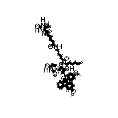 CCCCCCN(O[C@@H]1[C@H](O)[C@@H](COC(c2ccccc2)(c2ccc(OC)cc2)c2ccc(OC)cc2)O[C@H]1n1ccc(=O)[nH]c1=O)C(=O)CCCCCNC(=O)CCCC[C@@H]1SC[C@@H]2NC(=O)N[C@@H]21